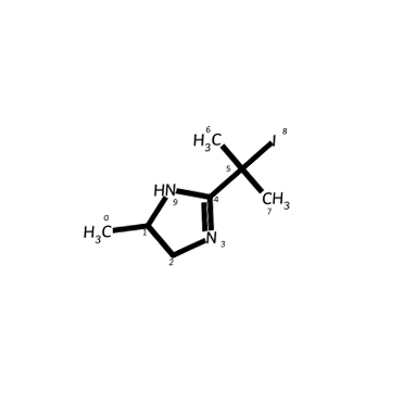 CC1CN=C(C(C)(C)I)N1